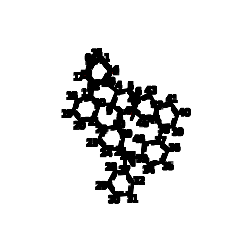 c1ccc(-c2ccccc2-c2c(-c3ccccc3)cccc2-c2ccc(N(c3ccccc3)c3cccc(-c4cccc5ccccc45)c3)cc2)cc1